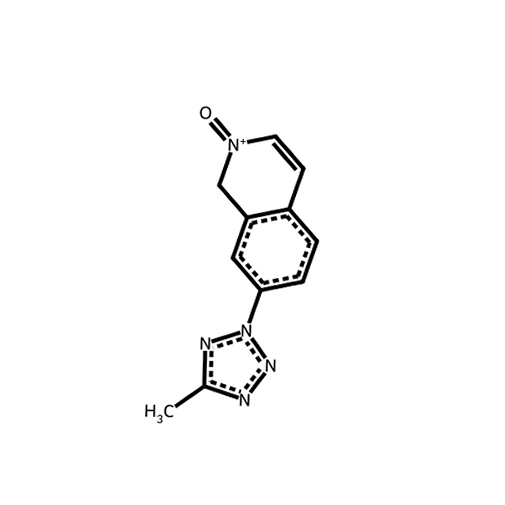 Cc1nnn(-c2ccc3c(c2)C[N+](=O)C=C3)n1